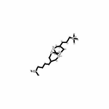 C[SiH](C)CCCCC1COC2(OC1)OCC(CCC[Si](C)(C)C)CO2